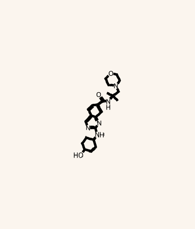 CC(C)(CN1CCOCC1)NC(=O)c1ccc2cnc(NC3CCC(O)CC3)nc2c1